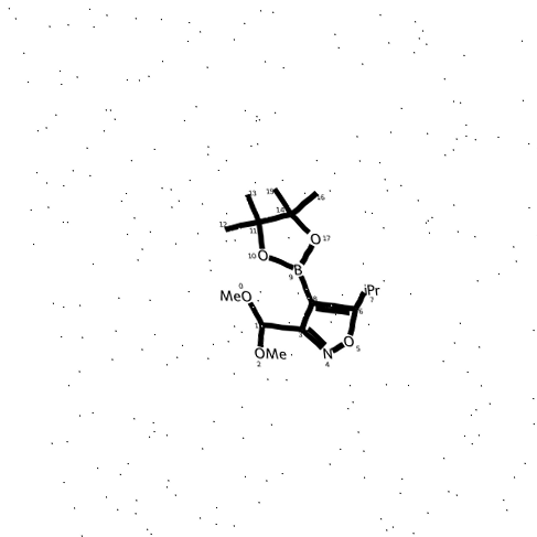 COC(OC)c1noc(C(C)C)c1B1OC(C)(C)C(C)(C)O1